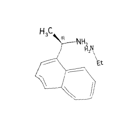 CCN.C[C@@H](N)c1cccc2ccccc12